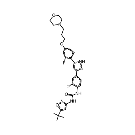 CC(C)(C)c1cc(NC(=O)Nc2ccc(-c3cc(-c4ccc(OCCCN5CCOCC5)cc4F)[nH]n3)cc2F)no1